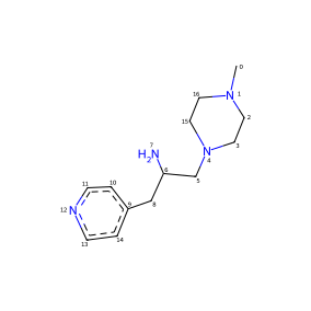 CN1CCN(CC(N)Cc2ccncc2)CC1